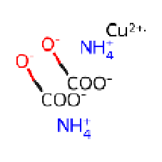 O=C([O-])[O-].O=C([O-])[O-].[Cu+2].[NH4+].[NH4+]